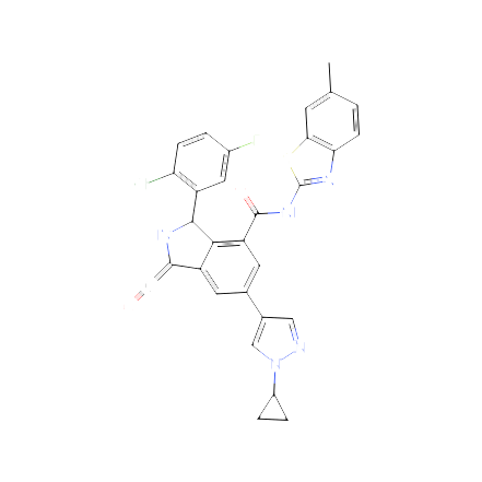 Cc1ccc2nc(NC(=O)c3cc(-c4cnn(C5CC5)c4)cc4c3C(c3cc(F)ccc3Cl)NC4=C=O)sc2c1